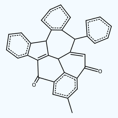 Cc1cc2c3c(c1)C(=O)C1=C4C3C(=CC2=O)C(c2ccccc2)c2ccccc2C4c2ccccc21